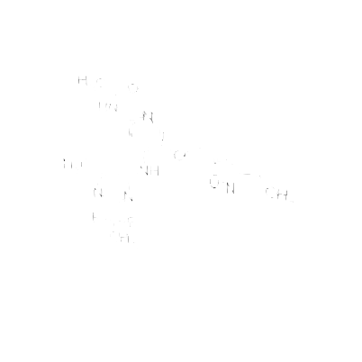 CCc1cc(COc2cnc(NC(C)=O)cc2Nc2cc(C)nc(C(C)(F)F)n2)on1